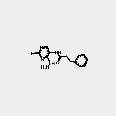 NNc1nc(Cl)ncc1NC(=O)CCc1ccccc1